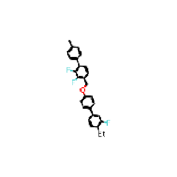 CCc1ccc(-c2ccc(OCc3ccc(-c4ccc(C)cc4)c(F)c3F)cc2)cc1F